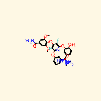 COc1cc(C(N)=O)cc(OC)c1Oc1c(F)c(Oc2cccc(C(=O)N(C)C)c2)nc(Oc2cc(C(=N)N)ccc2O)c1F